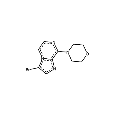 Brc1cnc2c(N3CCOCC3)nccn12